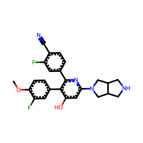 COc1ccc(-c2c(O)cc(N3CC4CNCC4C3)nc2-c2ccc(C#N)c(F)c2)cc1F